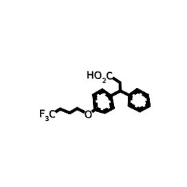 O=C(O)CC(c1ccccc1)c1ccc(OCCCC(F)(F)F)cc1